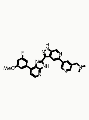 COc1cc(F)cc(-c2ccnc3[nH]c(-c4n[nH]c5cnc(-c6cncc(CN(C)C)c6)cc45)nc23)c1